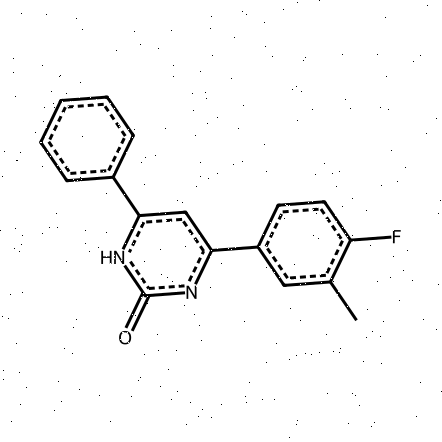 Cc1cc(-c2cc(-c3ccccc3)[nH]c(=O)n2)ccc1F